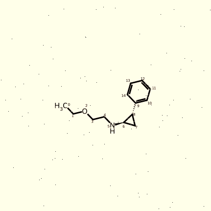 CCOCCN[C@@H]1C[C@H]1c1ccccc1